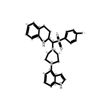 O=S(=O)(c1ccc(F)cc1)C(C1CCc2ccccc2N1)N1CCN(c2cccc3[nH]ccc23)CC1